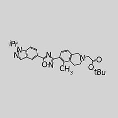 Cc1c(-c2noc(-c3ccc4c(cnn4C(C)C)c3)n2)ccc2c1CCN(CC(=O)OC(C)(C)C)C2